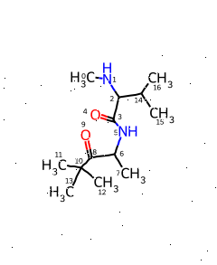 CNC(C(=O)NC(C)C(=O)C(C)(C)C)C(C)C